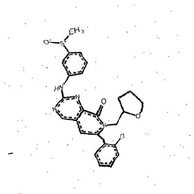 C[S+]([O-])c1cccc(Nc2ncc3cc(-c4ccccc4Cl)n(CC4CCCO4)c(=O)c3n2)c1